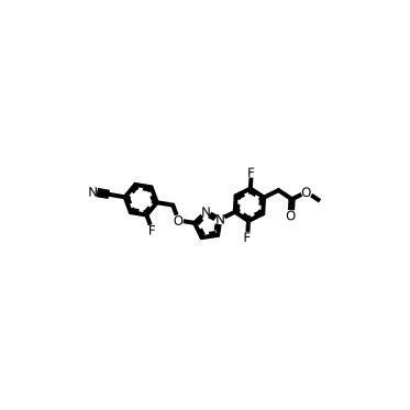 COC(=O)Cc1cc(F)c(-n2ccc(OCc3ccc(C#N)cc3F)n2)cc1F